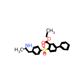 CCOC(=O)c1cc(-c2ccccc2)ccc1S(=O)(=O)c1ccc(C[C@@H](C)N)cc1